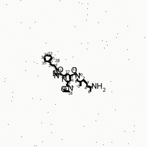 C=C(/C=C\C=C(\C)N)CN(C)C(=O)c1cc(-c2ncco2)nc(-c2nnc([C@@H](C)Cc3ccccc3)o2)c1